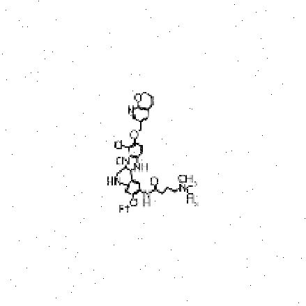 CCOc1cc2c(cc1NC(=O)CCCN(C)C)C(Nc1ccc(OCc3cnc4c(c3)CCCO4)c(Cl)c1)C(C#N)CN2